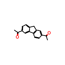 CC(=O)c1ccc2c(c1)Cc1ccc(C(C)=O)cc1-2